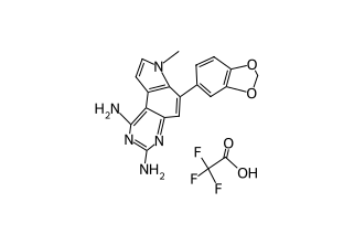 Cn1ccc2c3c(N)nc(N)nc3cc(-c3ccc4c(c3)OCO4)c21.O=C(O)C(F)(F)F